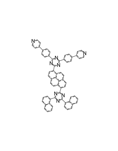 c1ccc2c(-c3nc(-c4cccc5ccccc45)nc(-c4ccc5ccc6c(-c7nc(-c8ccc(-c9ccncc9)cc8)nc(-c8ccc(-c9ccncc9)cc8)n7)ccc7ccc4c5c76)n3)cccc2c1